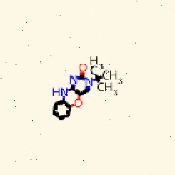 CC(C)(C)n1cc2c(nc1=O)Nc1ccccc1O2